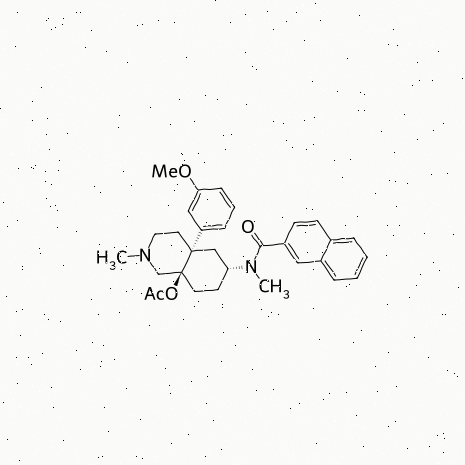 COc1cccc([C@@]23CCN(C)C[C@@]2(OC(C)=O)CC[C@@H](N(C)C(=O)c2ccc4ccccc4c2)C3)c1